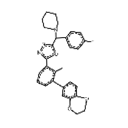 Cc1c(-c2ccc3c(c2)OCCO3)cccc1-c1nnc(C(c2ccc(F)cc2)N2CCCCC2)o1